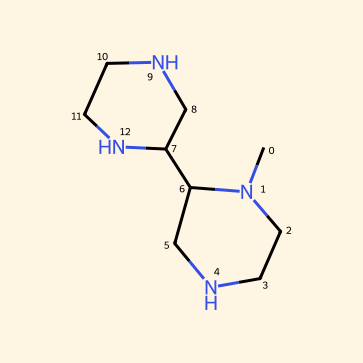 CN1CCNCC1C1CNCCN1